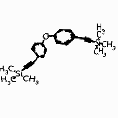 C[Si](C)(C)C#Cc1ccc(Oc2ccc(C#C[Si](C)(C)C)cc2)cc1